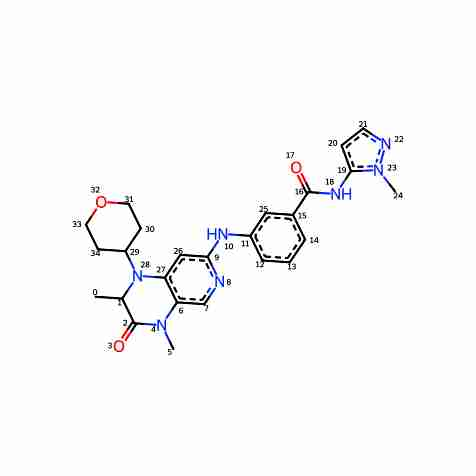 CC1C(=O)N(C)c2cnc(Nc3cccc(C(=O)Nc4ccnn4C)c3)cc2N1C1CCOCC1